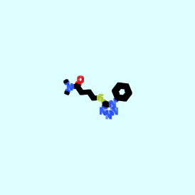 CN(C)C(=O)CCCSc1nnnn1-c1ccccc1